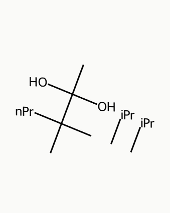 CC(C)C.CC(C)C.CCCC(C)(C)C(C)(O)O